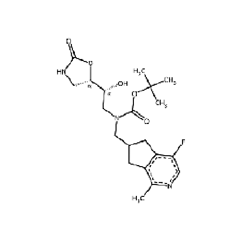 Cc1ncc(F)c2c1CC(CN(C[C@@H](O)[C@@H]1CNC(=O)O1)C(=O)OC(C)(C)C)C2